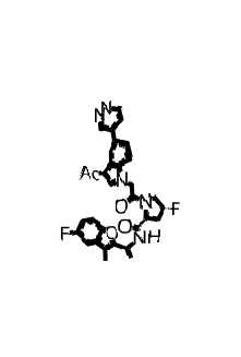 CC(=O)c1cn(CC(=O)N2C[C@H](F)C[C@H]2C(=O)NC(C)c2oc3ccc(F)cc3c2C)c2ccc(-c3ccnnc3)cc12